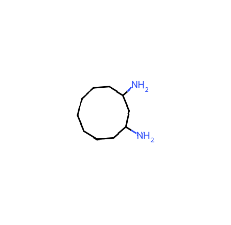 NC1CCCCCCCC(N)C1